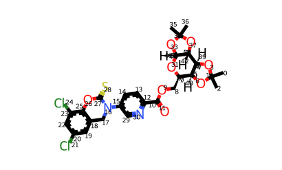 CC1(C)O[C@H]2[C@@H](O1)[C@@H](COC(=O)c1ccc(N3Cc4cc(Cl)cc(Cl)c4OC3=S)cn1)O[C@@H]1OC(C)(C)O[C@@H]12